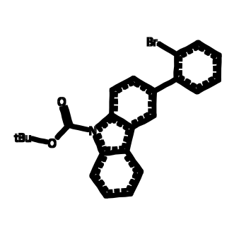 CC(C)(C)OC(=O)n1c2ccccc2c2cc(-c3ccccc3Br)ccc21